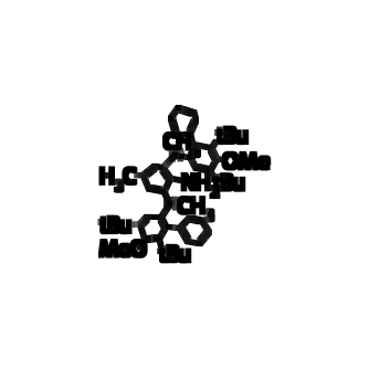 COc1c(C(C)(C)C)cc([C@@H](C)c2cc(C)cc([C@H](C)c3cc(C(C)(C)C)c(OC)c(C(C)(C)C)c3-c3ccccc3)c2N)c(-c2ccccc2)c1C(C)(C)C